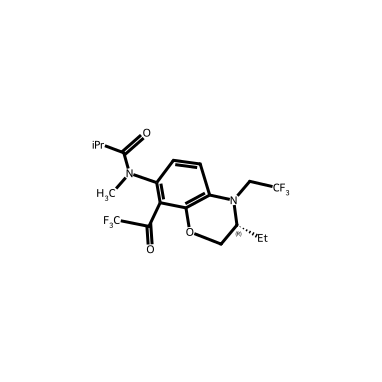 CC[C@@H]1COc2c(ccc(N(C)C(=O)C(C)C)c2C(=O)C(F)(F)F)N1CC(F)(F)F